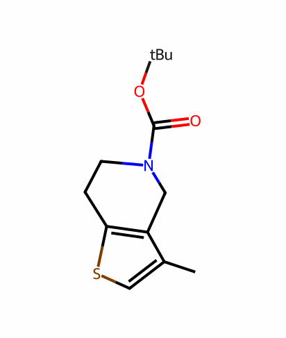 Cc1csc2c1CN(C(=O)OC(C)(C)C)CC2